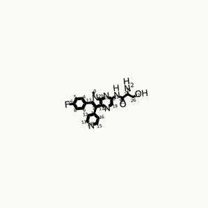 Cn1c(-c2ccc(F)cc2)c(-c2ccncc2)c2ncc(NC(=O)[C@@H](N)CO)nc21